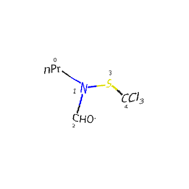 CCCN([C]=O)SC(Cl)(Cl)Cl